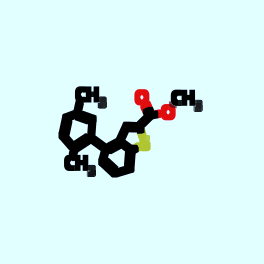 COC(=O)c1cc2c(-c3cc(C)ccc3C)cccc2s1